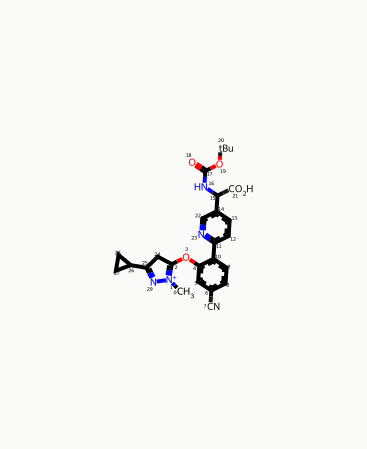 C[N+]1=C(Oc2cc(C#N)ccc2-c2ccc(C(NC(=O)OC(C)(C)C)C(=O)O)cn2)CC(C2CC2)=N1